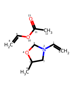 C=CN1COC(C)C1.C=COC(C)=O